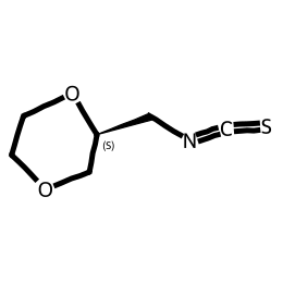 S=C=NC[C@H]1COCCO1